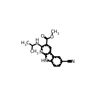 COC(=O)c1cc2c(nc1NC(C)C)[nH]c1ccc(C#N)cc12